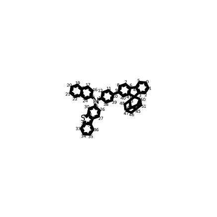 c1ccc2c(c1)-c1ccc(-c3ccc(N(c4ccc5ccccc5c4)c4ccc5c(c4)sc4ccccc45)cc3)cc1C21C2CC3CC(C2)CC1C3